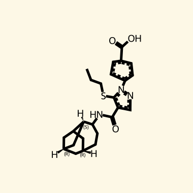 CCCSc1c(C(=O)NC2CC[C@H]3CC4C[C@@H](C3)C[C@@H]42)cnn1-c1ccc(C(=O)O)cc1